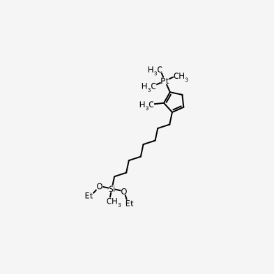 CCO[Si](C)(CCCCCCCCC1=CC[C]([Pt]([CH3])([CH3])[CH3])=C1C)OCC